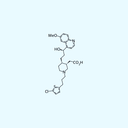 COc1ccc2nccc([C@H](O)CC[C@@H]3CCN(CCCc4ccc(Cl)s4)C[C@@H]3CC(=O)O)c2c1